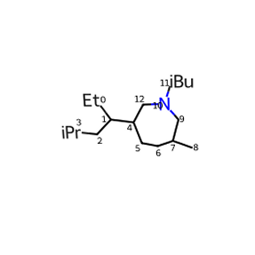 CCC(CC(C)C)C1CCC(C)CN(C(C)CC)C1